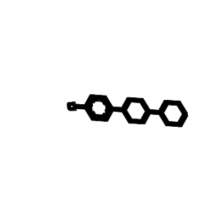 Clc1ccc(C2CCC(C3CCCCC3)CC2)cc1